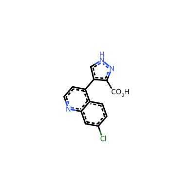 O=C(O)c1n[nH]cc1-c1ccnc2cc(Cl)ccc12